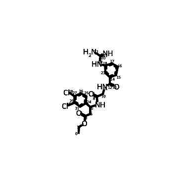 CCOC(=O)CC(NC(=O)CNC(=O)c1cccc(NC(=N)N)c1)c1ccc(Cl)c(Cl)c1